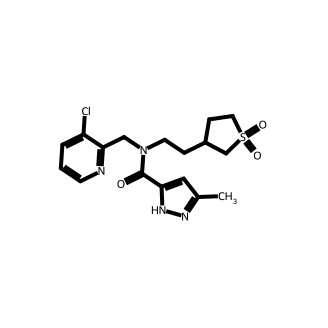 Cc1cc(C(=O)N(CCC2CCS(=O)(=O)C2)Cc2ncccc2Cl)[nH]n1